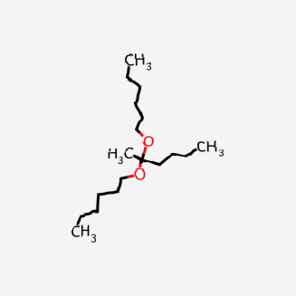 CCCCCCOC(C)(CCCC)OCCCCCC